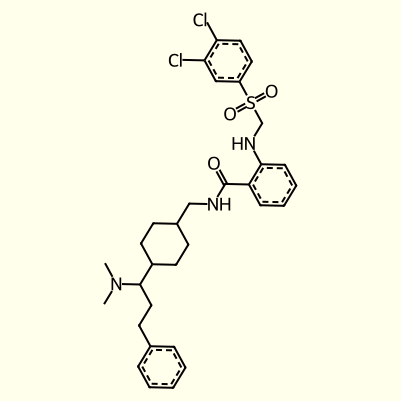 CN(C)C(CCc1ccccc1)C1CCC(CNC(=O)c2ccccc2NCS(=O)(=O)c2ccc(Cl)c(Cl)c2)CC1